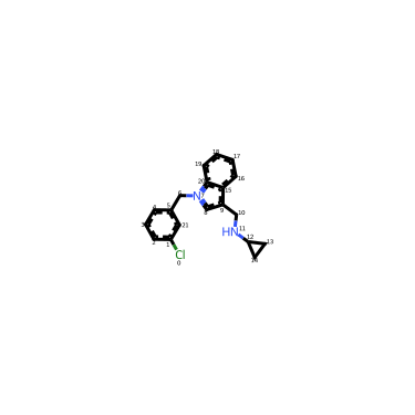 Clc1cccc(Cn2cc(CNC3CC3)c3ccccc32)c1